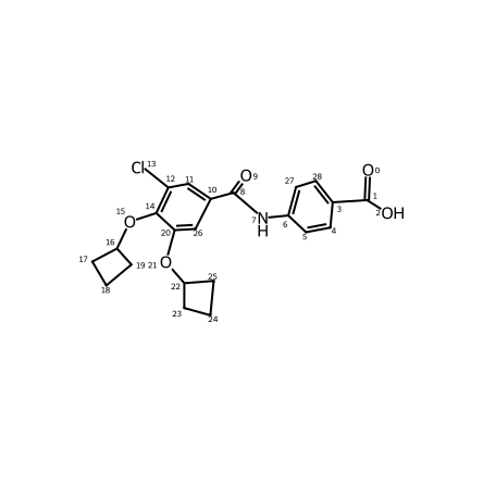 O=C(O)c1ccc(NC(=O)c2cc(Cl)c(OC3CCC3)c(OC3CCC3)c2)cc1